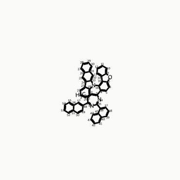 CC1C=C(c2ccc3oc4ccccc4c3c2-n2c3ccccc3c3cc4ccccc4cc32)N=C(c2cccc3ccccc23)N=C1c1ccc2ccccc2c1